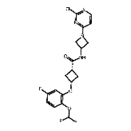 O=C(NC1CN(c2ccnc(Cl)n2)C1)[C@H]1C[C@H](Oc2cc(F)ccc2OC(F)F)C1